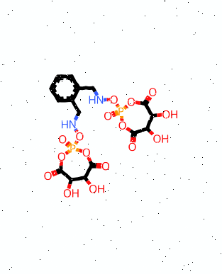 O=C1OP(=O)(ONCc2ccccc2CNOP2(=O)OC(=O)C(O)C(O)C(=O)O2)OC(=O)C(O)C1O